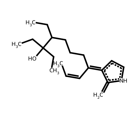 C=c1[nH]cc/c1=C(/C=C\C)CCCC(CC)C(O)(CC)CC